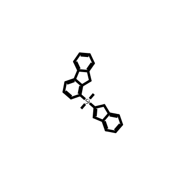 C[Si](C)(C1=Cc2ccccc2C1)c1cccc2c1Cc1ccccc1-2